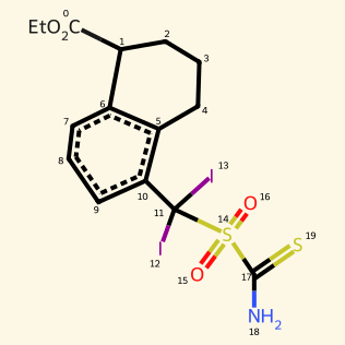 CCOC(=O)C1CCCc2c1cccc2C(I)(I)S(=O)(=O)C(N)=S